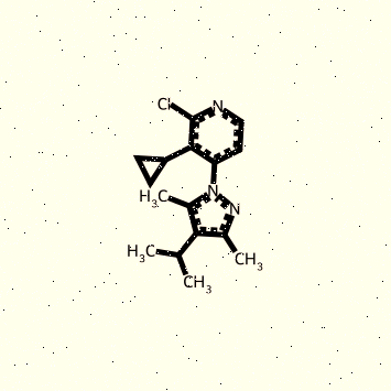 Cc1nn(-c2ccnc(Cl)c2C2CC2)c(C)c1C(C)C